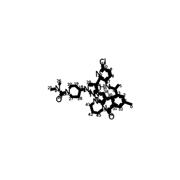 Cc1cc(C(C)Nc2ccc(Cl)nc2-c2cnn(C3CCN(C(=O)N(C)C)CC3)c2)c2c(c1)c(=O)n1c3c2cnn3CCC1